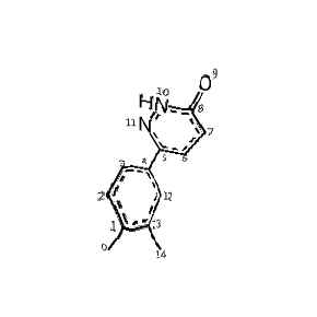 Cc1ccc(-c2ccc(=O)[nH]n2)cc1C